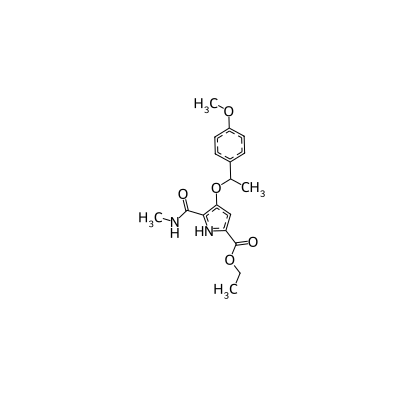 CCOC(=O)c1cc(OC(C)c2ccc(OC)cc2)c(C(=O)NC)[nH]1